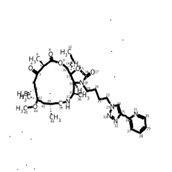 B[C@@H]1CC(=O)[C@@H](C)C(=O)O[C@H](CC)[C@@]2(C)OC(=O)N(CCCCn3cc(-c4ccccn4)nn3)[C@@H]2[C@@H](C)NC[C@H](C)C[C@@]1(C)OC